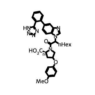 CCCCCCC(C(=O)N1CC(Oc2ccc(OC)cc2)C[C@H]1C(=O)O)n1cnc2cc(-c3ccccc3-c3nnn[nH]3)ccc21